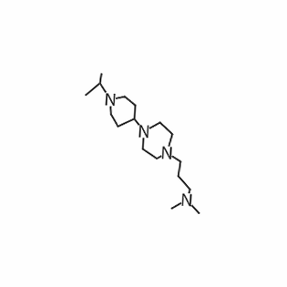 CC(C)N1CCC(N2CCN(CCCN(C)C)CC2)CC1